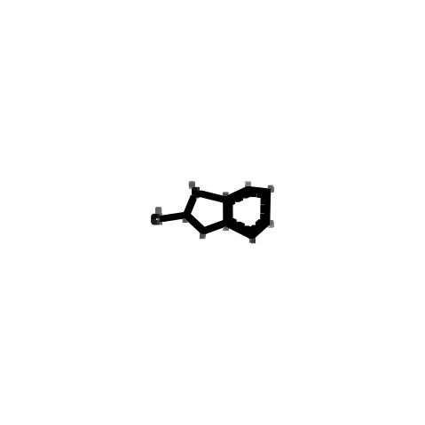 ClC1Cc2ccccc2S1